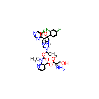 CC(OC(=O)N(C)c1ncccc1COC(=O)[C@@H](N)CO)[n+]1cnn(CC(O)(c2ccc(F)cc2F)[C@@H](C)c2ncncc2F)c1